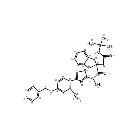 COc1cc(OCc2ccncc2)ccc1-c1csc(N(C)C(=O)C2(CC(=O)OC(C)(C)C)Cc3ccccc3C2)n1